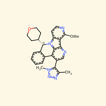 COc1nccc2c1c1ncc(-c3c(C)nnn3C)c3c1n2[C@@H](C1CCOCC1)c1ccccc1-3